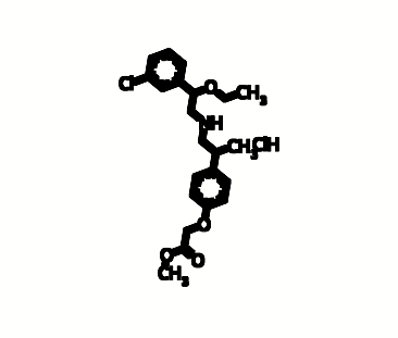 CCOC(CNCC(C)c1ccc(OCC(=O)OC)cc1)c1cccc(Cl)c1.Cl